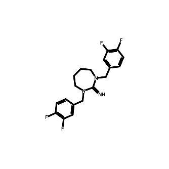 N=C1N(Cc2ccc(F)c(F)c2)CCCCN1Cc1ccc(F)c(F)c1